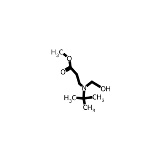 COC(=O)CCN(CO)C(C)(C)C